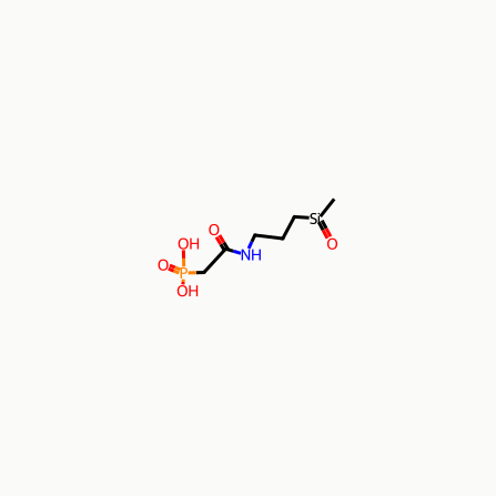 C[Si](=O)CCCNC(=O)CP(=O)(O)O